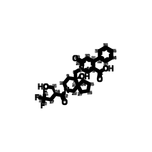 O=C(O)c1cn(C[C@]2(O)CCN(C(=O)[C@H](CO)CC(F)(F)F)CC23CCCC3)c(=O)cc1-c1ccccc1